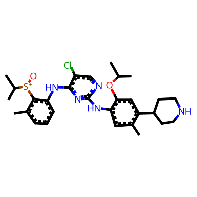 Cc1cc(Nc2ncc(Cl)c(Nc3cccc(C)c3[S+]([O-])C(C)C)n2)c(OC(C)C)cc1C1CCNCC1